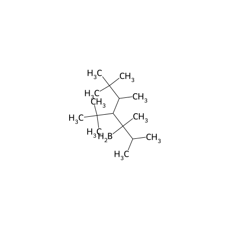 BC(C)(C(C)C)C(C(C)C(C)(C)C)C(C)(C)C